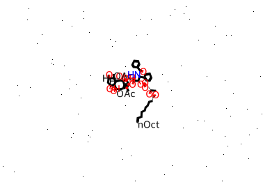 CCCCCCCC/C=C\CCCCCCC[C@H]1OC[C@@H](COC(=O)O[C@@H](C(=O)O[C@H]2C[C@@]3(O)[C@@H](O)[C@@H]4[C@]5(OC(C)=O)CO[C@@H]5C[C@H](O)[C@@]4(C)C(=O)[C@H](OC(C)=O)C(=C2C)C3(C)C)[C@@H](NC(=O)c2ccccc2)c2ccccc2)O1